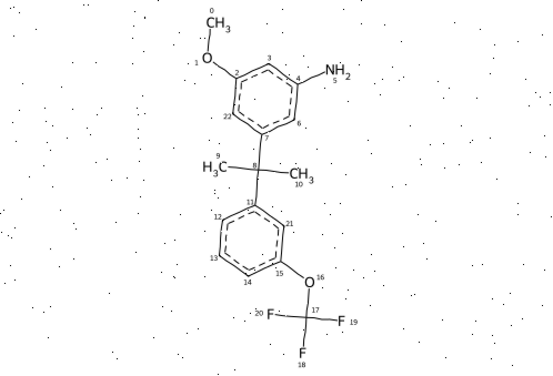 COc1cc(N)cc(C(C)(C)c2cccc(OC(F)(F)F)c2)c1